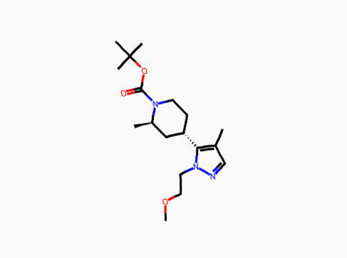 COCCn1ncc(C)c1[C@H]1CCN(C(=O)OC(C)(C)C)[C@H](C)C1